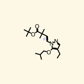 CCc1cnn(/C=C/C(C)(C)C(=O)OC(C)(C)C)c1OCC(C)C